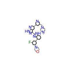 CN1CCN(Cc2cncc(-c3cnc4[nH]nc(-c5nc6c(-c7cc(F)cc(N8CCOCC8)c7)cccc6[nH]5)c4c3)c2)CC1